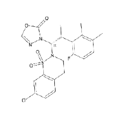 Cc1ccc(F)c(C(C)[C@H](N2CCc3ccc(Cl)cc3S2(=O)=O)n2ncoc2=O)c1C